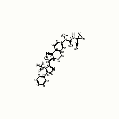 N#CC1(NC(=O)[C@H](O)c2ccc3c(c2)CCc2c-3noc2-c2noc(-c3ccccc3)c2C(F)(F)F)CC1